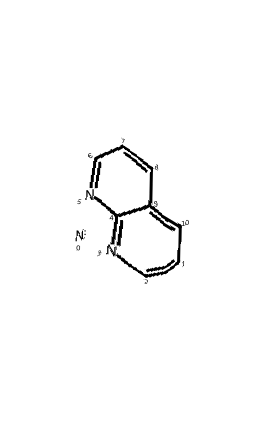 [N].c1cnc2ncccc2c1